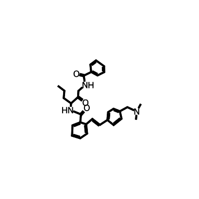 CCCC(NC(=O)c1ccccc1C=Cc1ccc(CN(C)C)cc1)C(=O)CNC(=O)c1ccccc1